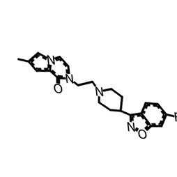 Cc1cc2c(=O)n(CCN3CCC(c4noc5cc(F)ccc45)CC3)ccn2c1